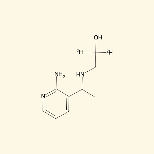 [2H]C([2H])(O)CNC(C)c1cccnc1N